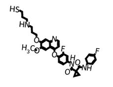 COc1cc2c(Oc3ccc(NC(=O)C4(C(=O)NC5C=CC(F)=CC5)CC4)cc3F)ccnc2cc1OCCCNCCCS